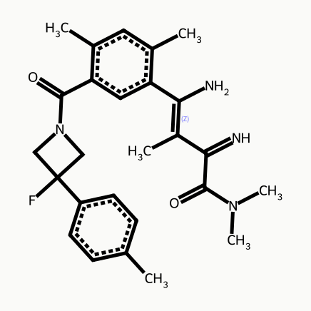 C/C(C(=N)C(=O)N(C)C)=C(/N)c1cc(C(=O)N2CC(F)(c3ccc(C)cc3)C2)c(C)cc1C